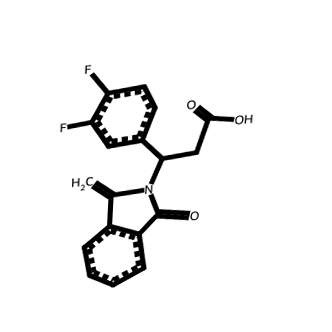 C=C1c2ccccc2C(=O)N1C(CC(=O)O)c1ccc(F)c(F)c1